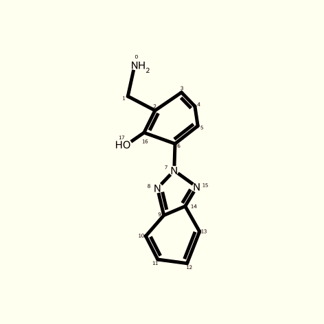 NCc1cccc(-n2nc3ccccc3n2)c1O